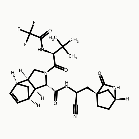 CC(C)(C)[C@H](NC(=O)C(F)(F)F)C(=O)N1C[C@H]2[C@@H]([C@H]1C(=O)NC(C#N)C[C@]13CC[C@H](C1)NC3=O)[C@H]1C=C[C@@H]2C1